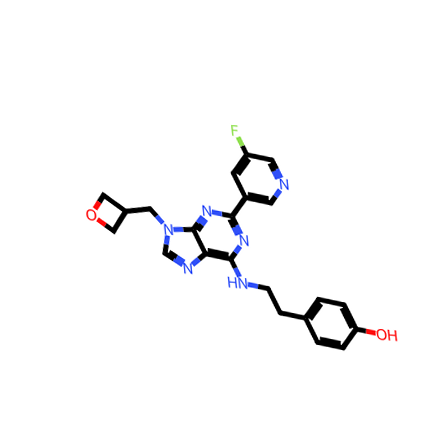 Oc1ccc(CCNc2nc(-c3cncc(F)c3)nc3c2ncn3CC2COC2)cc1